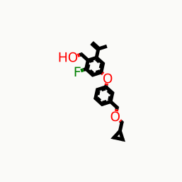 C=C(C)c1cc(Oc2cccc(COCC3CC3)c2)cc(F)c1CO